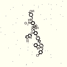 CC(C)c1ccccc1C1CN(Cc2ccc(Cl)cc2)CCN1C1CC2(CCN(c3ccc(C(=O)NS(=O)(=O)c4ccc(NCC5CCC(C)(O)CC5)c([N+](=O)[O-])c4)c(Oc4cnc5[nH]ccc5c4)c3)CC2)C1